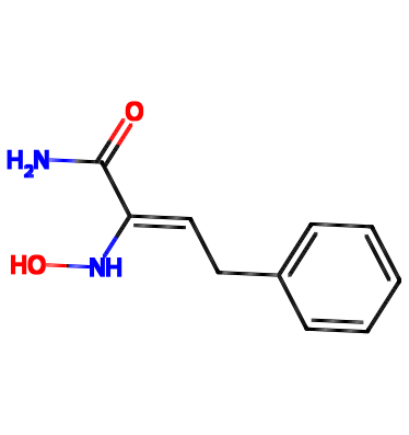 NC(=O)C(=CCc1ccccc1)NO